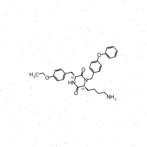 CCOc1ccc(C[C@@H]2NC(=O)[C@H](CCCCN)N(Cc3ccc(Oc4ccccc4)cc3)C2=O)cc1